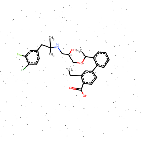 CCc1cc(-c2ccccc2C(C)OC[C@H](O)CNC(C)(C)Cc2ccc(Cl)c(F)c2)ccc1C(=O)O